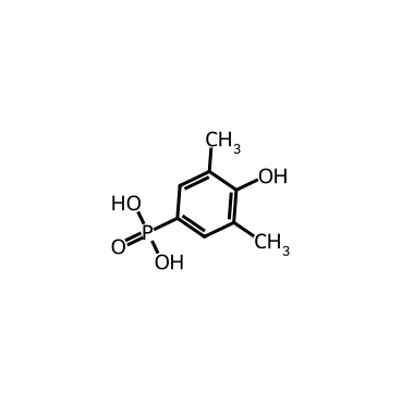 Cc1cc(P(=O)(O)O)cc(C)c1O